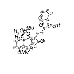 CCCCCC(CCC1=C2C(O[Si](C)(C)C(C)(C)C)c3cccc(OC)c3C[C@@H]2CC1=O)OC1CCCCO1